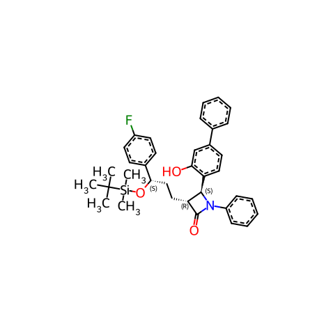 CC(C)(C)[Si](C)(C)O[C@@H](CC[C@H]1C(=O)N(c2ccccc2)[C@@H]1c1ccc(-c2ccccc2)cc1O)c1ccc(F)cc1